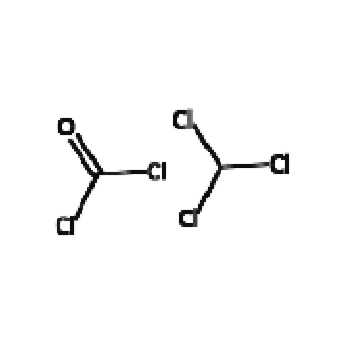 ClC(Cl)Cl.O=C(Cl)Cl